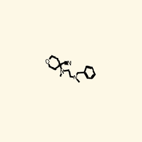 CN(CCN(C)C1(C#N)CCOCC1)Cc1ccccc1